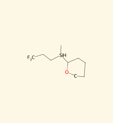 C[SiH](CCC(F)(F)F)C1CCCCO1